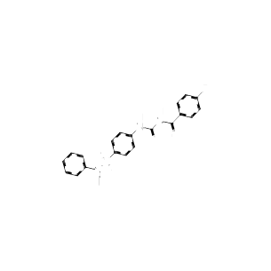 CCN(c1ccccc1)S(=O)(=O)c1ccc(NC(=S)NC(=O)c2ccc(F)cc2)cc1